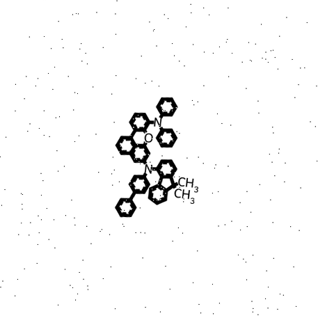 CC1(C)c2ccccc2-c2c(N(c3ccc(-c4ccccc4)cc3)c3cc4c5c(cccc5c3)-c3cccc(N(c5ccccc5)c5ccccc5)c3O4)cccc21